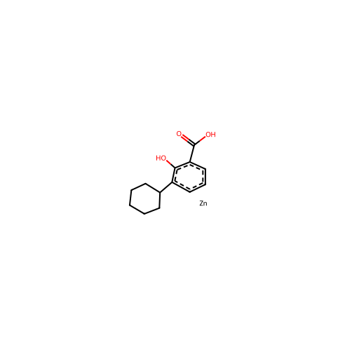 O=C(O)c1cccc(C2CCCCC2)c1O.[Zn]